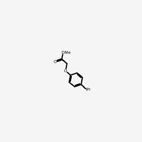 COC(=O)COc1ccc(C(C)C)cc1